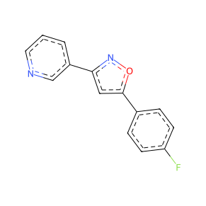 Fc1ccc(-c2cc(-c3cccnc3)no2)cc1